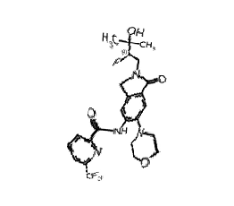 CC(C)(O)[C@H](F)CN1Cc2cc(NC(=O)c3cccc(C(F)(F)F)n3)c(N3CCOCC3)cc2C1=O